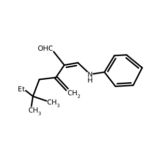 C=C(CC(C)(C)CC)/C(C=O)=C\Nc1ccccc1